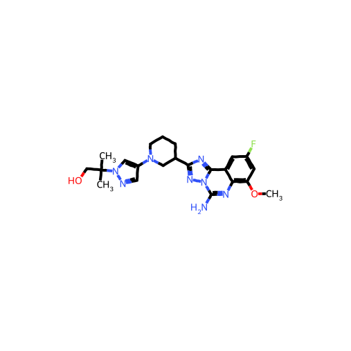 COc1cc(F)cc2c1nc(N)n1nc(C3CCCN(c4cnn(C(C)(C)CO)c4)C3)nc21